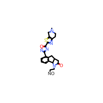 CN1CCc2nc(-c3nc(-c4cccc5c4CC4CC(=O)N(CCN=O)C54)no3)sc2C1